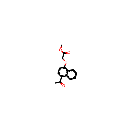 COC(=O)COc1ccc(C(C)=O)c2ccccc12